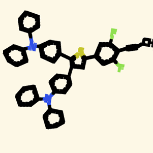 CC#Cc1c(F)cc(-c2cc(-c3ccc(N(c4ccccc4)c4ccccc4)cc3)c(-c3ccc(N(c4ccccc4)c4ccccc4)cc3)s2)cc1F